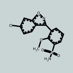 COc1c(-c2noc3cc(Cl)ccc23)cccc1S(N)(=O)=O